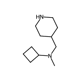 CN(CC1CCNCC1)C1CCC1